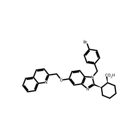 O=C(O)[C@H]1CCCC[C@H]1c1nc2cc(OCc3ccc4ccccc4n3)ccc2n1Cc1ccc(Br)cc1